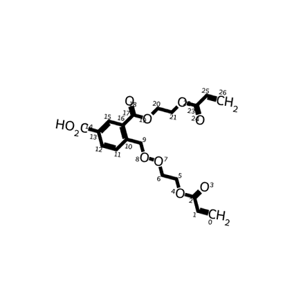 C=CC(=O)OCCOOCc1ccc(C(=O)O)cc1C(=O)OCCOC(=O)C=C